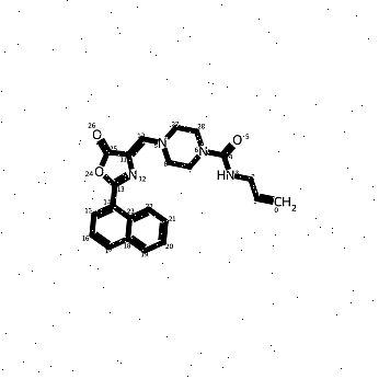 C=CCNC(=O)N1CCN(C=C2N=C(c3cccc4ccccc34)OC2=O)CC1